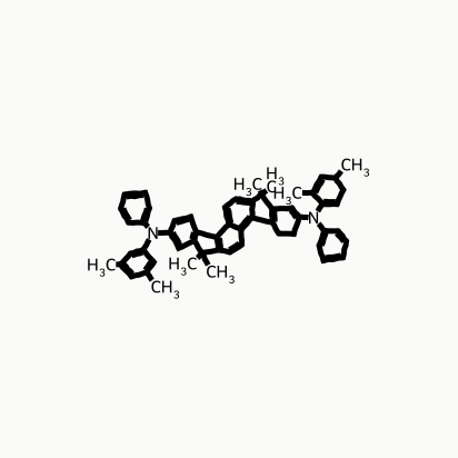 CC1=CC(C)CC=C1N(C1=CC2=C(CC1)c1c(ccc3c4c(ccc13)C(C)(C)c1cc(N(c3ccccc3)c3cc(C)cc(C)c3)ccc1-4)C2(C)C)c1ccccc1